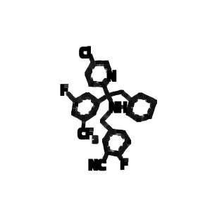 N#Cc1cc(CNC(Cc2ccccc2)(c2cc(F)cc(C(F)(F)F)c2)c2ccc(Cl)cn2)ccc1F